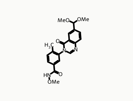 CONC(=O)c1ccc(C)c(-n2cnc3ccc(C(OC)OC)cc3c2=O)c1